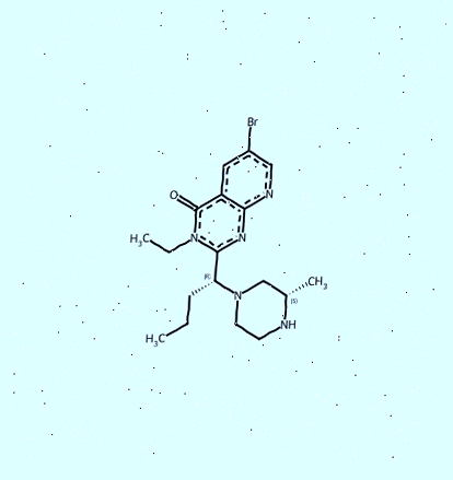 CCC[C@H](c1nc2ncc(Br)cc2c(=O)n1CC)N1CCN[C@@H](C)C1